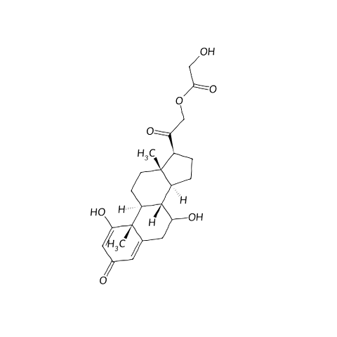 C[C@]12C(O)=CC(=O)C=C1CC(O)[C@@H]1[C@@H]2CC[C@]2(C)[C@@H](C(=O)COC(=O)CO)CC[C@@H]12